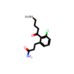 CC(=O)NCCCC(=O)c1c(Cl)cccc1CCC(N)=O